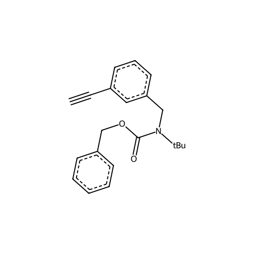 C#Cc1cccc(CN(C(=O)OCc2ccccc2)C(C)(C)C)c1